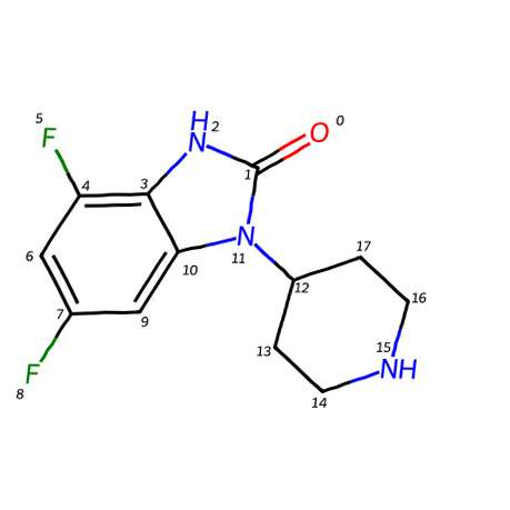 O=c1[nH]c2c(F)cc(F)cc2n1C1CCNCC1